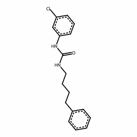 O=C(NCCCCc1ccccc1)Nc1cccc(Cl)c1